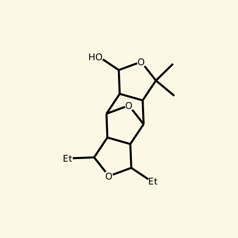 CCC1OC(CC)C2C3OC(C12)C1C(O)OC(C)(C)C31